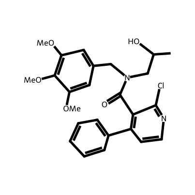 COc1cc(CN(CC(C)O)C(=O)c2c(-c3ccccc3)ccnc2Cl)cc(OC)c1OC